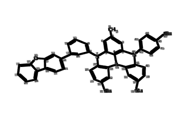 Cc1cc2c3c(c1)N(c1cccc(-c4ccc5c(c4)oc4ccccc45)c1)c1ccc(C(C)(C)C)cc1B3c1cc(C(C)(C)C)ccc1N2c1ccc(C(C)(C)C)cc1